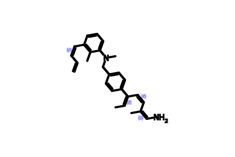 C=C/C=C\c1cccc(N(C)Cc2ccc(C(/C=C\C(C)=C/N)=C\C)cc2)c1C